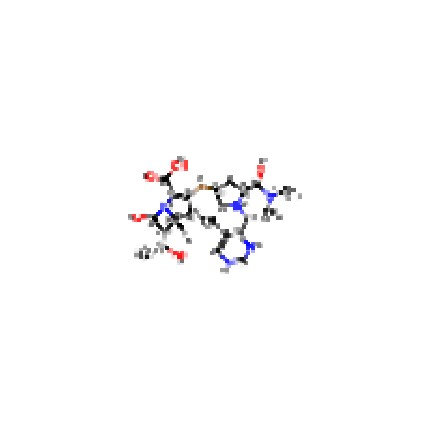 C[C@@H](O)[C@H]1C(=O)N2C(C(=O)O)=C(S[C@H]3C[C@@H](C(=O)N(C)C)N(Cc4ccncn4)C3)[C@H](C)[C@H]12